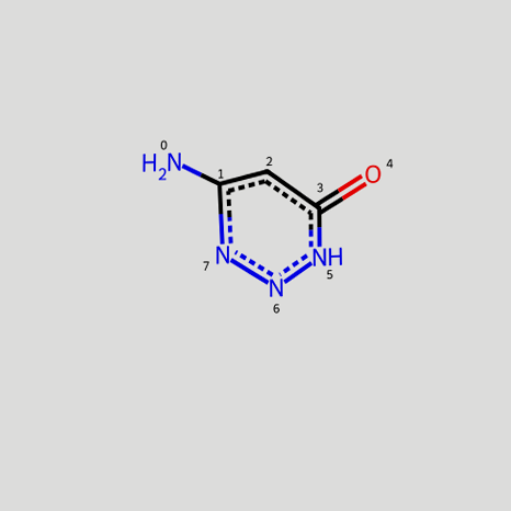 Nc1cc(=O)[nH]nn1